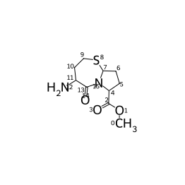 COC(=O)C1CCC2SCCC(N)C(=O)N21